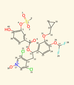 CS(=O)(=O)Oc1cc(C(=O)OC(Cc2c(Cl)c[n+]([O-])cc2Cl)c2ccc(OC(F)F)c(OCC3CC3)c2)ccc1O